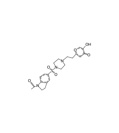 CC(=O)N1CCc2cc(S(=O)(=O)N3CCN(CCc4cc(=O)c(O)co4)CC3)ccc21